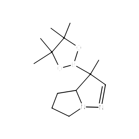 CC1(B2OC(C)(C)C(C)(C)O2)C=NN2CCCC21